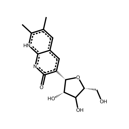 Cc1cc2cc([C@@H]3O[C@H](CO)C(O)[C@@H]3O)c(=O)nc-2[nH]c1C